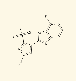 CS(=O)(=O)n1nc(C(F)(F)F)cc1-c1nc2cccc(F)c2s1